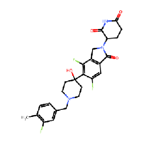 Cc1ccc(CN2CCC(O)(c3c(F)cc4c(c3F)CN(C3CCC(=O)NC3=O)C4=O)CC2)cc1F